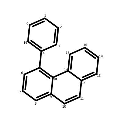 [c]1cccc(-c2cccc3ccc4ccccc4c23)c1